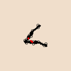 C=CC(=O)OCCCCCCOc1ccc(C(=O)Oc2ccc(CO[C@@H]3OCCO[C@H]3OCc3ccc(OC(=O)c4ccc(OCCCCCCOC(=O)C=C)cc4)cc3)cc2)cc1